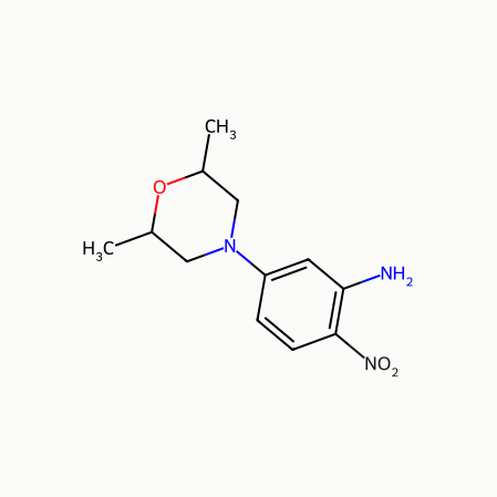 CC1CN(c2ccc([N+](=O)[O-])c(N)c2)CC(C)O1